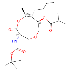 CCCC[C@H]1[C@H](C)OC(=O)[C@@H](NC(=O)OC(C)(C)C)COC[C@@H]1OC(=O)C(C)C